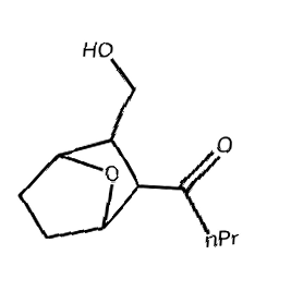 CCCC(=O)C1C2CCC(O2)C1CO